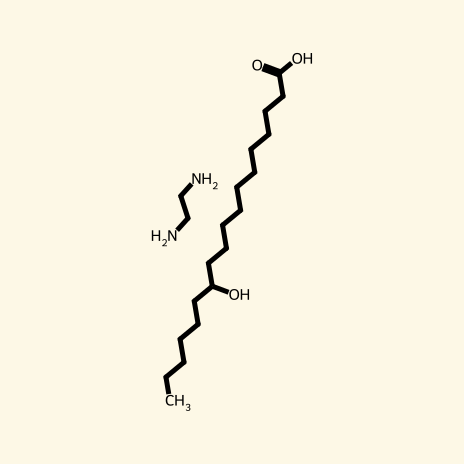 CCCCCCC(O)CCCCCCCCCCC(=O)O.NCCN